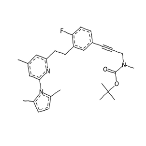 Cc1cc(CCc2cc(C#CCN(C)C(=O)OC(C)(C)C)ccc2F)nc(-n2c(C)ccc2C)c1